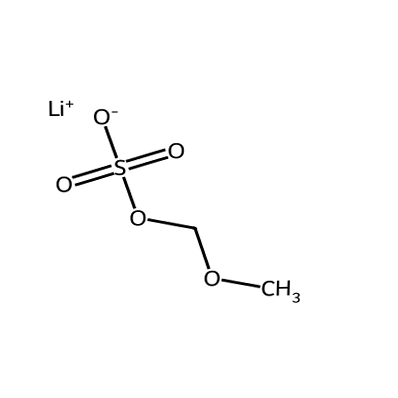 COCOS(=O)(=O)[O-].[Li+]